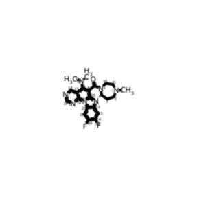 CN1CCCN(C(=O)c2c(N(C)C)c3cncnc3n3c2nc2cc(F)c(F)cc23)CC1